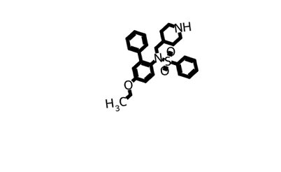 CCOc1ccc(N(CC2CCNCC2)S(=O)(=O)c2ccccc2)c(-c2ccccc2)c1